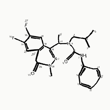 CC(C)CN(C(=O)Nc1ccccc1)C(C)c1nn(C)c(=O)c2cc(F)c(F)cc12